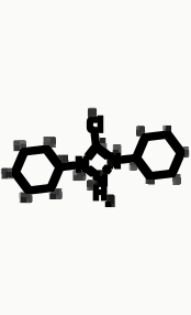 ClC1N(C2CCCCC2)[SiH2]N1C1CCCCC1